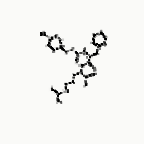 N=C(N)NCCCC(NC(=O)[C@H](Cc1ccccc1)NC(=O)CCc1ccc(O)cc1)C(=O)O